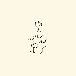 CCCC(C)C(=O)N(c1cc(C(C)(C)C)sc1C(=O)O)C1CCC(n2ccnn2)CC1